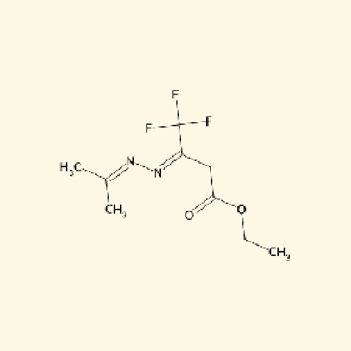 CCOC(=O)CC(=NN=C(C)C)C(F)(F)F